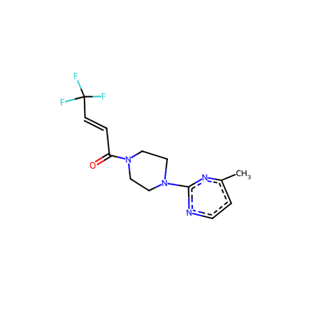 Cc1ccnc(N2CCN(C(=O)C=CC(F)(F)F)CC2)n1